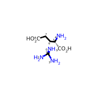 N=C(N)N.N[C@@H](CCC(=O)O)C(=O)O